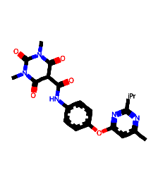 Cc1cc(Oc2ccc(NC(=O)C3C(=O)N(C)C(=O)N(C)C3=O)cc2)nc(C(C)C)n1